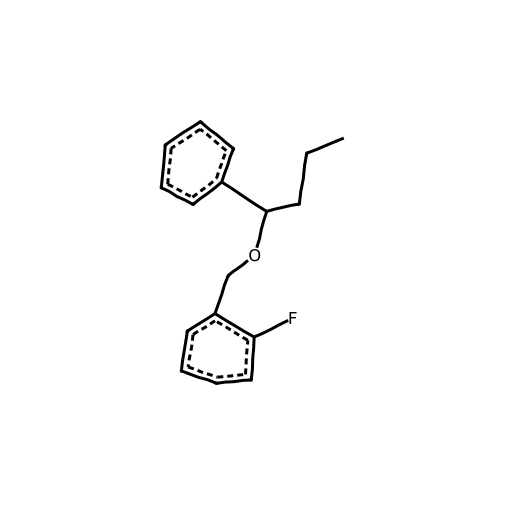 CCCC(OCc1ccccc1F)c1ccccc1